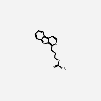 CC(=O)OCCCc1occc2c3ccccc3nc1-2